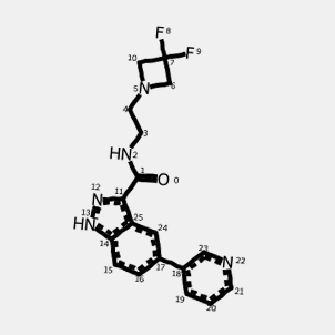 O=C(NCCN1CC(F)(F)C1)c1n[nH]c2ccc(-c3cccnc3)cc12